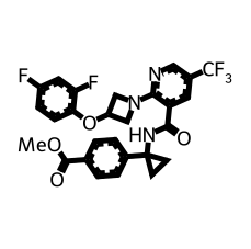 COC(=O)c1ccc(C2(NC(=O)c3cc(C(F)(F)F)cnc3N3CC(Oc4ccc(F)cc4F)C3)CC2)cc1